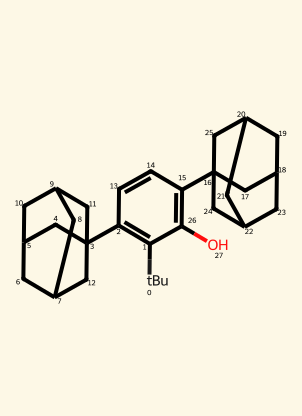 CC(C)(C)c1c(C23CC4CC(CC(C4)C2)C3)ccc(C23CC4CC(CC(C4)C2)C3)c1O